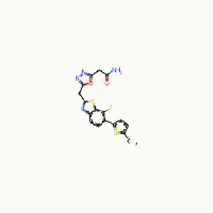 Cc1ccc(-c2ccc3nc(Cc4nnc(CC(N)=O)o4)sc3c2F)s1